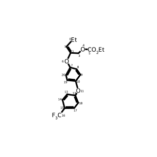 CCC=C(COC(=O)OCC)Oc1ccc(Oc2ccc(C(F)(F)F)cc2)cc1